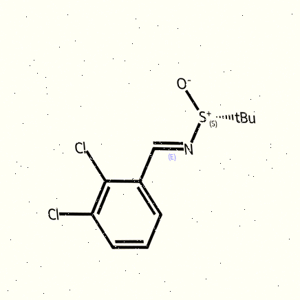 CC(C)(C)[S@@+]([O-])/N=C/c1cccc(Cl)c1Cl